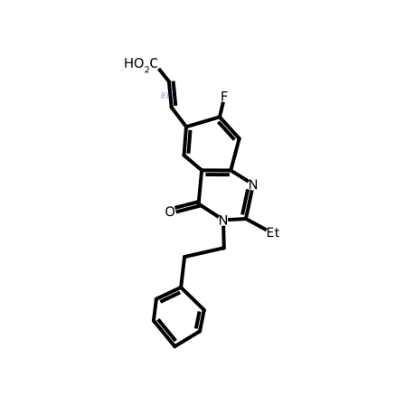 CCc1nc2cc(F)c(/C=C/C(=O)O)cc2c(=O)n1CCc1ccccc1